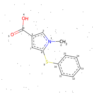 Cn1cc(C(=O)O)cc1Sc1ccccc1